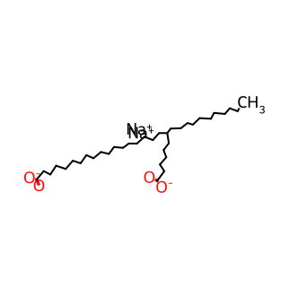 CCCCCCCCCCCC(CCCCCCCCCCCCCCCCCC(=O)[O-])CCCCCC(=O)[O-].[Na+].[Na+]